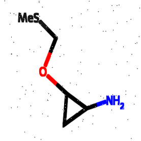 CSCOC1CC1N